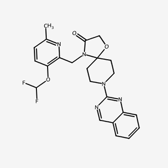 Cc1ccc(OC(F)F)c(CN2C(=O)COC23CCN(c2ncc4ccccc4n2)CC3)n1